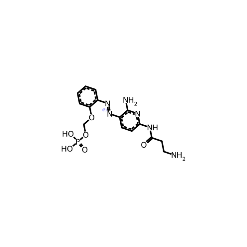 NCCC(=O)Nc1ccc(/N=N/c2ccccc2OCOP(=O)(O)O)c(N)n1